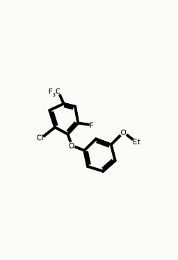 CCOc1cccc(Oc2c(F)cc(C(F)(F)F)cc2Cl)c1